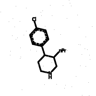 CCCC1CNCCC1c1ccc(Cl)cc1